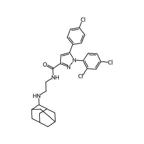 O=C(NCCNC1C2CC3CC(C2)CC1C3)c1cc(-c2ccc(Cl)cc2)n(-c2ccc(Cl)cc2Cl)n1